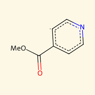 COC(=O)c1[c]cncc1